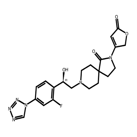 O=C1C=C(N2CCC3(CCN(C[C@H](O)c4ccc(-n5cnnn5)cc4F)CC3)C2=O)CO1